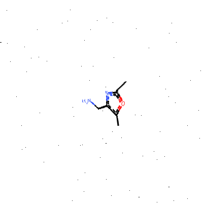 Cc1nc(CN)c(C)o1